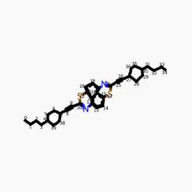 CCCCC1CCC(C#CC2=Nc3ccc4c5c(ccc(c35)S2)N=C(C#CC2CCC(CCCC)CC2)S4)CC1